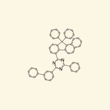 c1ccc(-c2cccc(-c3nc(-c4ccccc4)nc(-c4cccc5c4-c4ccc6ccccc6c4C5(c4ccccc4)c4ccccc4)n3)c2)cc1